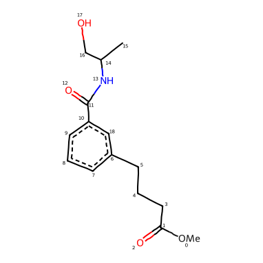 COC(=O)CCCc1cccc(C(=O)NC(C)CO)c1